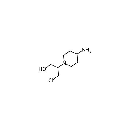 NC1CCN(C(CO)CCl)CC1